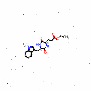 CCOC(=O)CC[C@H]1NC(=O)[C@@H](Cc2cn(C)c3ccccc23)NC1=O